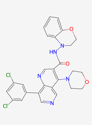 O=C(NN1CCOc2ccccc21)c1cnc2c(-c3cc(Cl)cc(Cl)c3)cncc2c1N1CCOCC1